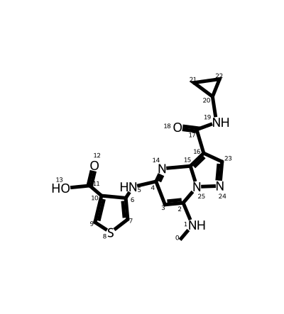 CNc1cc(Nc2cscc2C(=O)O)nc2c(C(=O)NC3CC3)cnn12